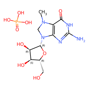 CN1CN([C@@H]2O[C@H](CO)[C@@H](O)[C@H]2O)c2nc(N)[nH]c(=O)c21.O=P(O)(O)O